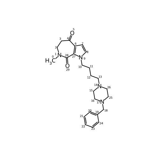 CN1CCC(=O)c2ccn(CCCCN3CCN(Cc4ccccc4)CC3)c2C1=O